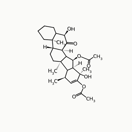 CC(=O)OC1=C[C@@H](C)C2[C@@H]([C@H](OC(C)=O)C3[C@@H]4C(=O)[C@H](O)C5CCCC[C@]5(C)[C@H]4CC[C@@]32C)[C@@]1(C)O